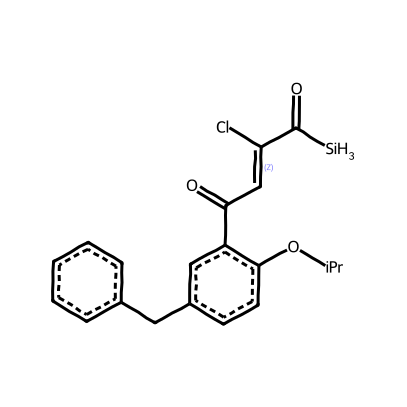 CC(C)Oc1ccc(Cc2ccccc2)cc1C(=O)/C=C(\Cl)C(=O)[SiH3]